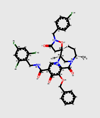 C[C@H]1CC[C@@]2(CC(=O)N(Cc3ccc(F)cc3)O2)[C@H]2CN1C(=O)c1c(OCc3ccccc3)c(=O)c(C(=O)NCc3c(F)cc(F)cc3F)cn12